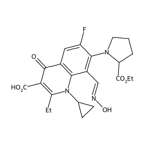 CCOC(=O)C1CCCN1c1c(F)cc2c(=O)c(C(=O)O)c(CC)n(C3CC3)c2c1C=NO